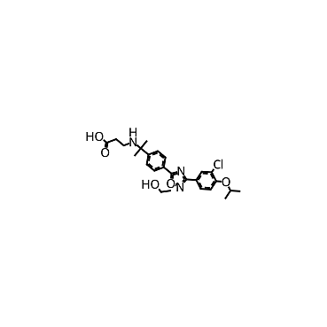 CC(C)Oc1ccc(-c2noc(-c3ccc(C(C)(C)NCCC(=O)O)cc3)n2)cc1Cl.CCO